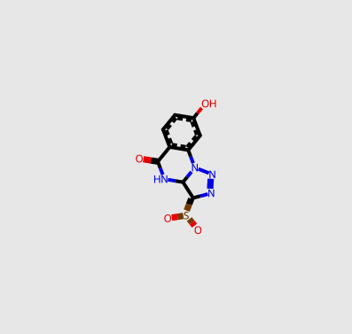 O=C1NC2C(=S(=O)=O)N=NN2c2cc(O)ccc21